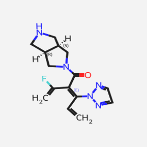 C=C/C(=C(\C(=C)F)C(=O)N1C[C@H]2CNC[C@H]2C1)n1nccn1